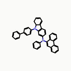 C1=CCC2C(=C1)c1ccc(N(c3ccccc3)c3cc4ccccc4c4ccccc34)cc1N2c1ccc(-c2ccccc2)cc1